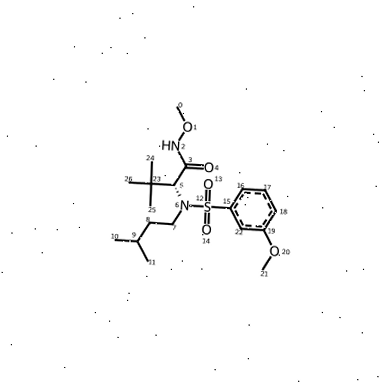 CONC(=O)[C@H](N(CCC(C)C)S(=O)(=O)c1cccc(OC)c1)C(C)(C)C